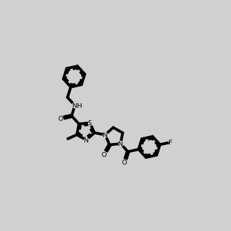 Cc1nc(N2CCN(C(=O)c3ccc(F)cc3)C2=O)sc1C(=O)NCc1ccccc1